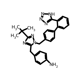 CC(C)(C)c1nc(Cc2ccc(N)cc2)n(Cc2ccc(-c3ccccc3-c3nnn[nH]3)cc2)n1